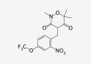 CN1OC(C)(C)C(=O)C(Cc2ccc(OC(F)(F)F)cc2[N+](=O)[O-])C1=O